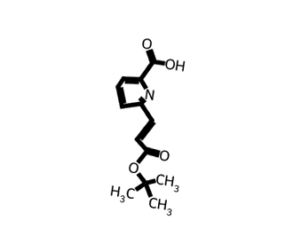 CC(C)(C)OC(=O)C=Cc1cccc(C(=O)O)n1